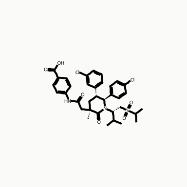 CC(C)[C@@H](CS(=O)(=O)C(C)C)N1C(=O)[C@@](C)(CC(=O)Nc2ccc(C(=O)O)cc2)C[C@H](c2cccc(Cl)c2)[C@H]1c1ccc(Cl)cc1